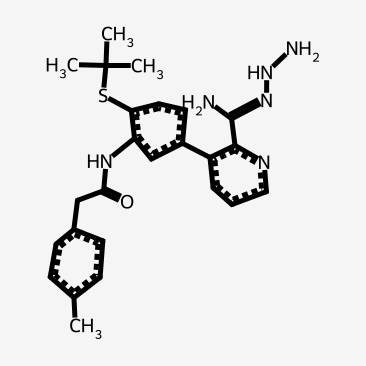 Cc1ccc(CC(=O)Nc2cc(-c3cccnc3/C(N)=N/NN)ccc2SC(C)(C)C)cc1